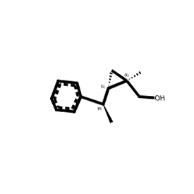 C[C@@H](c1ccccc1)[C@@H]1C[C@@]1(C)CO